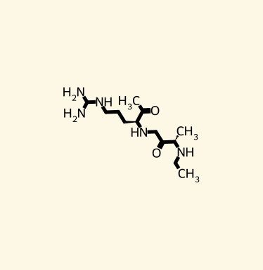 CCN[C@@H](C)C(=O)CN[C@@H](CCCNC(N)N)C(C)=O